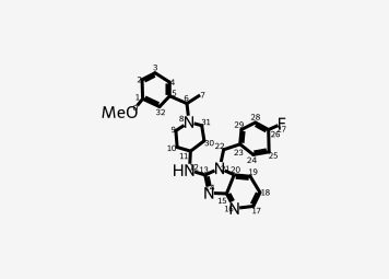 COc1cccc(C(C)N2CCC(Nc3nc4ncccc4n3Cc3ccc(F)cc3)CC2)c1